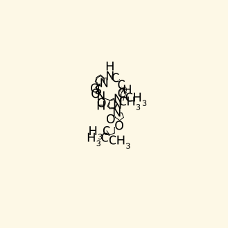 CC(C)(C)CCOC1CCN(c2ccc3c(n2)N2C[C@@H](CCCNc4cccc(n4)S(=O)(=O)NC3=O)CC2(C)C)C1=O